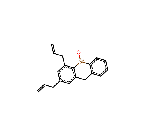 C=CCc1cc(CC=C)c2c(c1)Cc1ccccc1[S+]2[O-]